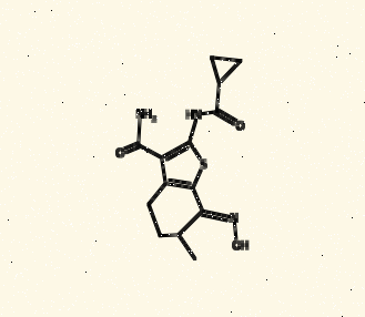 CC1CCc2c(sc(NC(=O)C3CC3)c2C(N)=O)/C1=N/O